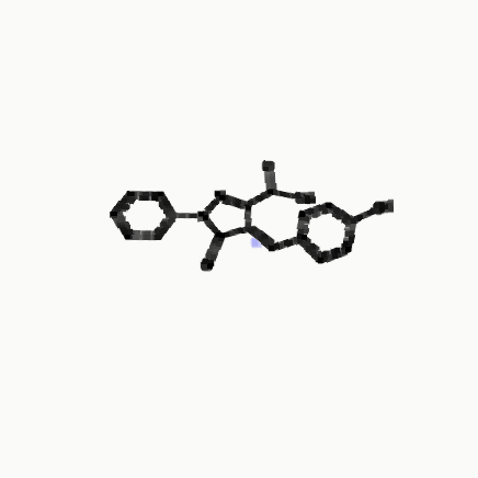 O=C(O)C1=NN(c2ccccc2)C(=O)/C1=C/c1ccc(O)cc1